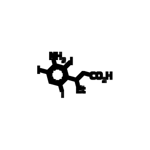 CCC(CC(=O)O)c1c(I)cc(I)c(N)c1I